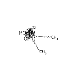 CCCCCCCCCCCCCCNC(=O)N(CCCCCCCCCCCC)[C@@H]1O[C@H](CO)[C@H](O)[C@H](O)[C@@H]1NC(=O)OCc1ccccc1